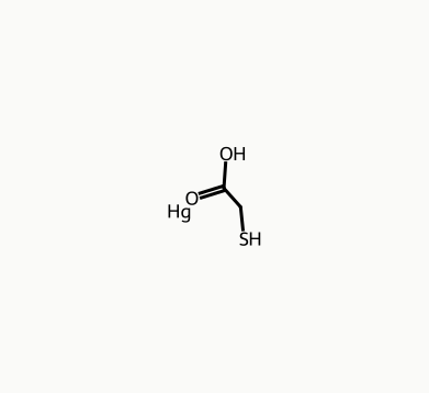 O=C(O)CS.[Hg]